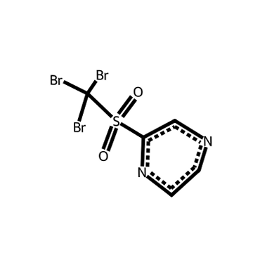 O=S(=O)(c1cnccn1)C(Br)(Br)Br